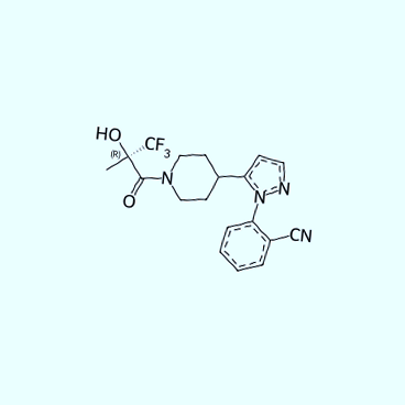 C[C@@](O)(C(=O)N1CCC(c2ccnn2-c2ccccc2C#N)CC1)C(F)(F)F